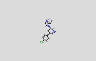 Clc1ccc(-c2cncc(N3CCN4CCC3C4)c2)cc1